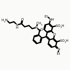 CC/N=c1\ccc2c(-c3ccccc3C(=O)N(C)CCCC(=O)NCCN)c3ccc(NCC)c(S(=O)(=O)O)c3oc-2c1S(=O)(=O)O